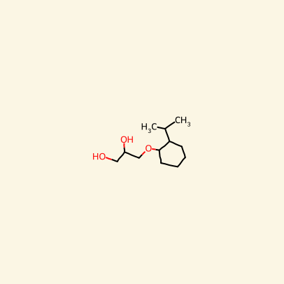 CC(C)C1CCCCC1OCC(O)CO